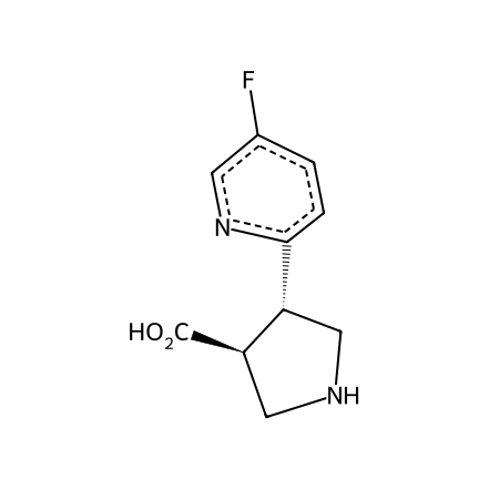 O=C(O)[C@@H]1CNC[C@H]1c1ccc(F)cn1